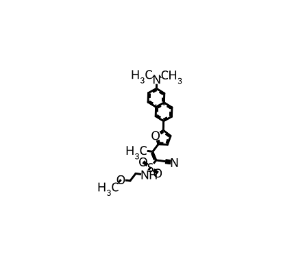 COCCNS(=O)(=O)/C(C#N)=C(\C)c1ccc(-c2ccc3cc(N(C)C)ccc3c2)o1